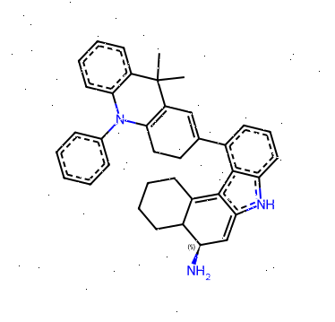 CC1(C)C2=C(CCC(c3cccc4[nH]c5c(c34)=C3CCCCC3[C@H](N)C=5)=C2)N(c2ccccc2)c2ccccc21